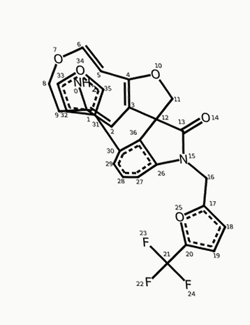 N/C1=C\C2=C(/C=C/OCC1)OCC21C(=O)N(Cc2ccc(C(F)(F)F)o2)c2cccc(-c3ccoc3)c21